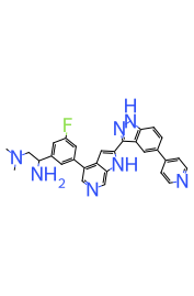 CN(C)CC(N)c1cc(F)cc(-c2cncc3[nH]c(-c4n[nH]c5ccc(-c6ccncc6)cc45)cc23)c1